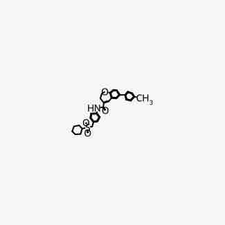 Cc1ccc(-c2ccc3c(c2)C=C(C(=O)Nc2ccc(CS(=O)(=O)C4CCCCC4)cc2)CCO3)cc1